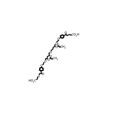 C=CC(=O)OC(CCCOCCCC(COCCOc1ccc(C(=O)CSCCC(=O)O)cc1)OC(=O)C=C)COCCOc1ccc(C(=O)CCCC(=O)O)cc1